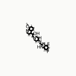 COc1cccc2c([C@@H](O)CN3CCC(NCc4nc5c(F)cc(F)cc5[nH]4)CC3)ccnc12